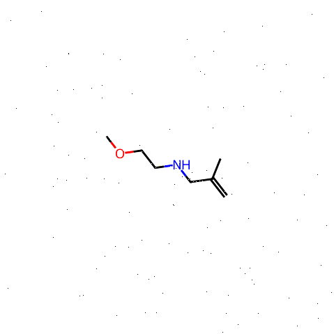 C=C(C)CNCCOC